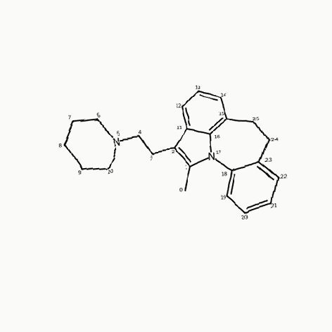 Cc1c(CCN2CCCCC2)c2cccc3c2n1-c1ccccc1CC3